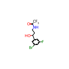 O=C(NCCC(O)c1cc(F)cc(Br)c1)C(F)(F)F